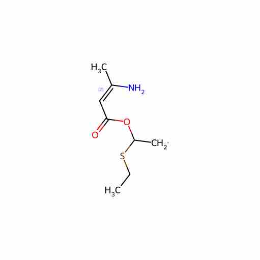 [CH2]C(OC(=O)/C=C(/C)N)SCC